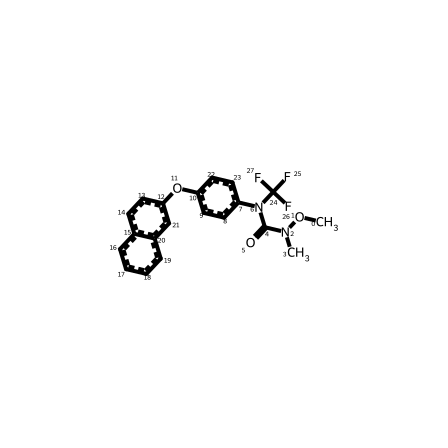 CON(C)C(=O)N(c1ccc(Oc2ccc3ccccc3c2)cc1)C(F)(F)F